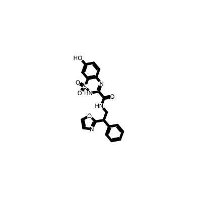 O=C(NCC(c1ccccc1)c1ncco1)C1=Nc2ccc(O)cc2S(=O)(=O)N1